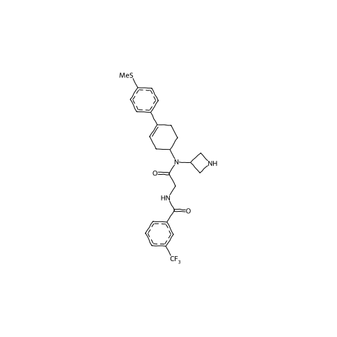 CSc1ccc(C2=CCC(N(C(=O)CNC(=O)c3cccc(C(F)(F)F)c3)C3CNC3)CC2)cc1